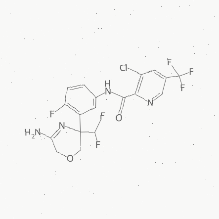 NC1=NC(c2cc(NC(=O)c3ncc(C(F)(F)F)cc3Cl)ccc2F)(C(F)F)COC1